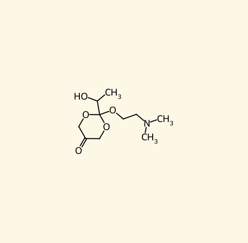 CC(O)C1(OCCN(C)C)OCC(=O)CO1